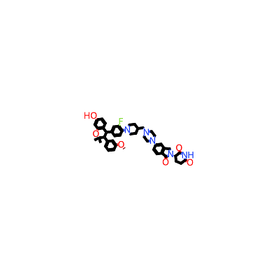 COc1cccc(C2C(c3ccc(N4CCC(CN5CCN(c6ccc7c(c6)CN([C@H]6CCC(=O)NC6=O)C7=O)CC5)CC4)c(F)c3)c3ccc(O)cc3OC2(C)C)c1